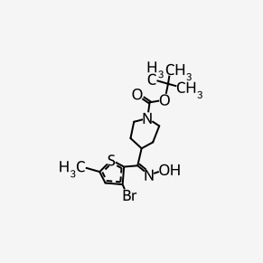 Cc1cc(Br)c(/C(=N/O)C2CCN(C(=O)OC(C)(C)C)CC2)s1